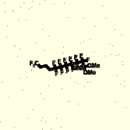 CO[Si](OC)(OC)C(F)(F)C(F)(F)C(F)(F)C(F)(F)C(F)(F)C(F)(F)CCCC(F)(F)F